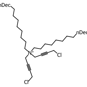 CCCCCCCCCCCCCCCCCC[N+](CC#CCCl)(CC#CCCl)CCCCCCCCCCCCCCCCCC